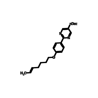 C/C=C/CCCCOc1ccc(-c2ncc(CCCCCCCCCC)cn2)cc1